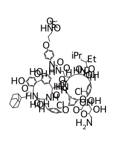 CC[C@H](CC(C)C)C(=O)N[C@H]1C(=O)C[C@@H](CC(=O)NC(=O)Nc2ccc(OCCCNS(C)(=O)=O)cc2)C(=O)N[C@H]2C(=O)C[C@H]3C(=O)N[C@H](C(=O)N[C@H](C(=O)CC4C5CC6CC(C5)CC4C6)c4cc(O)cc(O)c4-c4cc3ccc4O)[C@H](O)c3ccc(c(Cl)c3)Oc3cc2cc(c3O[C@@H]2O[C@H](CN)[C@@H](O)[C@H](O)[C@H]2O)Oc2ccc(cc2Cl)[C@H]1O